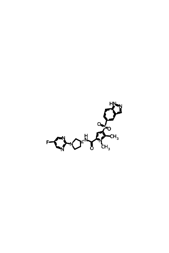 Cc1c(S(=O)(=O)c2ccc3[nH]ncc3c2)cc(C(=O)N[C@@H]2CCN(c3ncc(F)cn3)C2)n1C